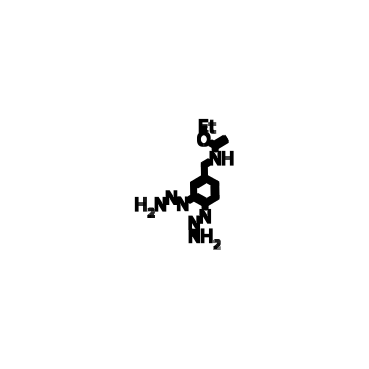 C=C(NCc1ccc(N=NN)c(N=NN)c1)OCC